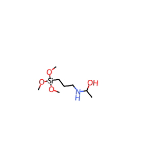 CO[Si](CCCNC(C)O)(OC)OC